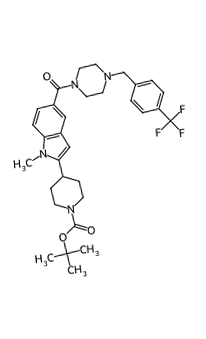 Cn1c(C2CCN(C(=O)OC(C)(C)C)CC2)cc2cc(C(=O)N3CCN(Cc4ccc(C(F)(F)F)cc4)CC3)ccc21